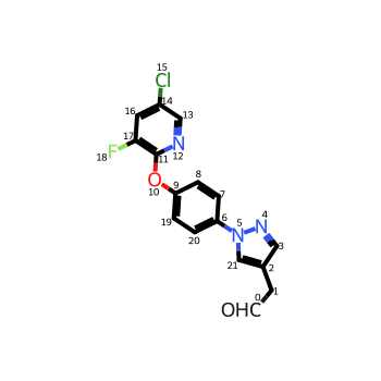 O=CCc1cnn(-c2ccc(Oc3ncc(Cl)cc3F)cc2)c1